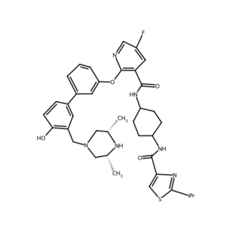 CC(C)c1nc(C(=O)NC2CCC(NC(=O)c3cc(F)cnc3Oc3cccc(-c4ccc(O)c(CN5C[C@@H](C)N[C@@H](C)C5)c4)c3)CC2)cs1